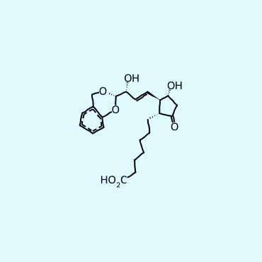 O=C(O)CCCCCC[C@H]1C(=O)C[C@@H](O)[C@@H]1/C=C/[C@@H](O)[C@H]1OCc2ccccc2O1